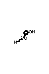 N#CCCCOC(=O)c1cccc(O)c1